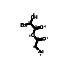 CCC(O)C(=O)OC(=O)CC(C)=O